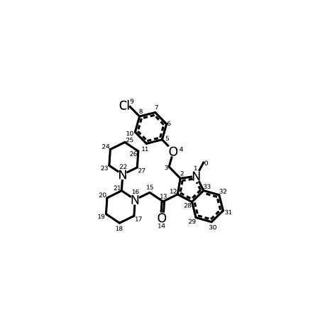 Cn1c(COc2ccc(Cl)cc2)c(C(=O)CN2CCCCC2N2CCCCC2)c2ccccc21